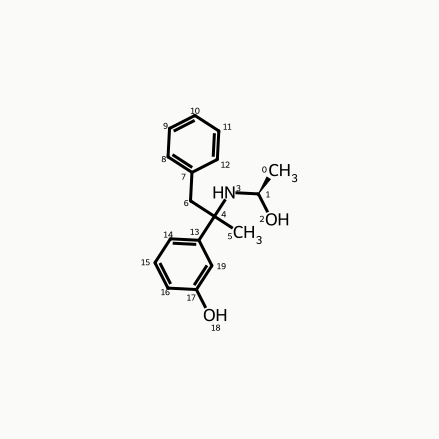 C[C@@H](O)NC(C)(Cc1ccccc1)c1cccc(O)c1